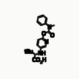 CN(C(=O)Oc1ccc(NC(C(=O)O)C(C)(C)C)cn1)c1ccccc1